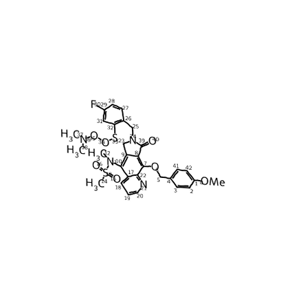 COc1ccc(COc2c3c(c(N(C)S(C)(=O)=O)c4cccnc24)CN(Cc2ccc(F)cc2SOON(C)C)C3=O)cc1